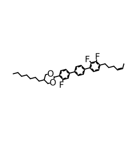 C/C=C\CCCc1ccc(-c2ccc(-c3ccc(C4OCC(CCCCCCC)CO4)c(F)c3)cc2)c(F)c1F